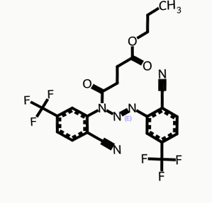 CCCOC(=O)CCC(=O)N(/N=N/c1cc(C(F)(F)F)ccc1C#N)c1cc(C(F)(F)F)ccc1C#N